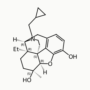 CC[C@@]12CC[C@](C)(O)[C@@H]3Oc4c(O)ccc5c4[C@@]31CCN(CC1CC1)[C@@H]2C5